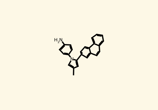 Cc1cc(-c2ccc3c(ccc4ccccc43)c2)n(-c2ccc(N)cc2)c1